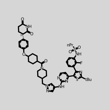 CCCS(=O)(=O)Nc1cccc(-c2nc(C(C)(C)C)sc2-c2ccnc(Nc3cnn(CC4CCN(C(=O)C5CCC(Oc6ccc([C@@H]7CCC(=O)NC7=O)cc6)CC5)CC4)c3)n2)c1F